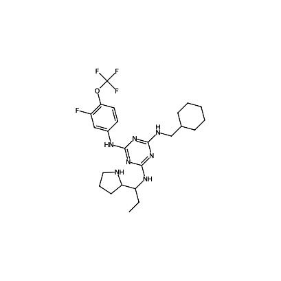 CCC(Nc1nc(NCC2CCCCC2)nc(Nc2ccc(OC(F)(F)F)c(F)c2)n1)C1CCCN1